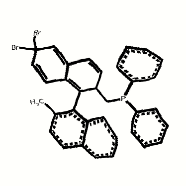 Cc1ccc2ccccc2c1C1=C2C=CC(Br)(Br)C=C2C=CC1CP(c1ccccc1)c1ccccc1